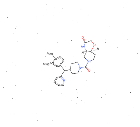 COc1ccc(C(c2ccccn2)C2CCN(C(=O)N3CC[C@@H]4OCC(=O)N[C@@H]4C3)CC2)cc1OC